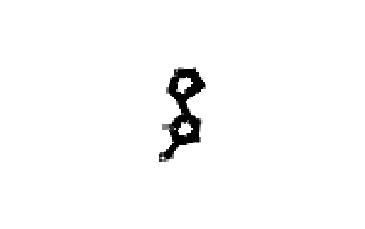 Clc1ccc(-c2[c]scc2)s1